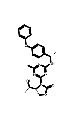 Cc1nc(N[C@@H](C)c2ccc(Oc3ccccc3)cc2)nc(N2C(=O)OC[C@@H]2[C@H](C)O)n1